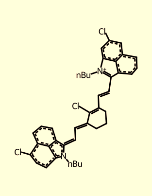 CCCCn1/c(=C/C=C2\CCCC(/C=C/C3=[N+](CCCC)c4cc(Cl)cc5cccc3c45)=C2Cl)c2cccc3c(Cl)ccc1c32